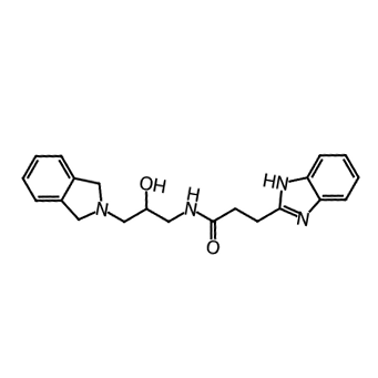 O=C(CCc1nc2ccccc2[nH]1)NCC(O)CN1Cc2ccccc2C1